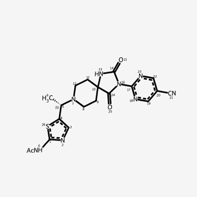 CC(=O)Nc1ncc([C@H](C)N2CCC3(CC2)NC(=O)N(c2ncc(C#N)cn2)C3=O)s1